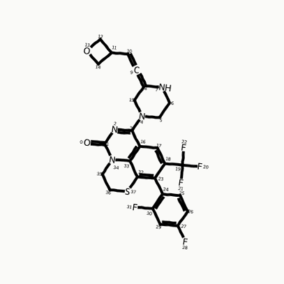 O=c1nc(N2CCNC(=C=CC3COC3)C2)c2cc(C(F)(F)F)c(-c3ccc(F)cc3F)c3c2n1CCS3